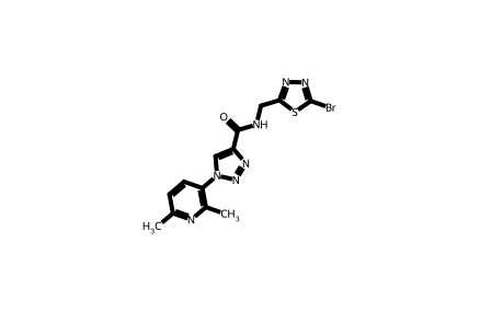 Cc1ccc(-n2cc(C(=O)NCc3nnc(Br)s3)nn2)c(C)n1